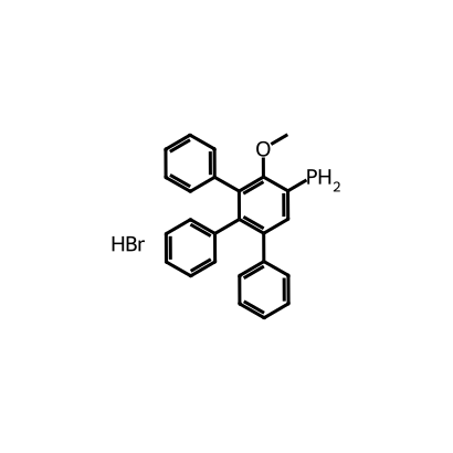 Br.COc1c(P)cc(-c2ccccc2)c(-c2ccccc2)c1-c1ccccc1